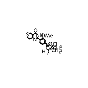 COc1cc(B2OC(C)(C)C(C)(C)O2)ccc1-c1nc2c(c(=O)[nH]1)CSCC2